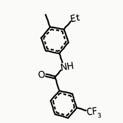 CCc1cc(NC(=O)c2cccc(C(F)(F)F)c2)ccc1C